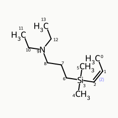 C/C=C\[Si](C)(C)CCCN(CC)CC